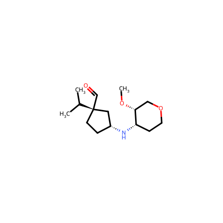 CO[C@@H]1COCC[C@@H]1N[C@@H]1CC[C@@](C=O)(C(C)C)C1